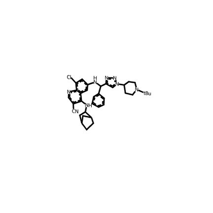 CC(C)(C)N1CCC(n2cc(C(Nc3cc(Cl)c4ncc(C#N)c(NC5CC6CCC5C6)c4c3)c3ccccc3)nn2)CC1